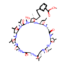 CCC[C@@H]1NC(=O)[C@H]([C@H](O)[C@H](C)CCCc2cccc(C(=O)OC)c2)N(C)C(=O)[C@H](C(C)C)N(C)C(=O)[C@H](CC(C)C)N(C)C(=O)[C@H](CC(C)C)N(C)C(=O)[C@H](C)NC(=O)[C@@H](C)NC(=O)[C@@H](CC(C)C)N(C)C(=O)[C@@H](C(C)C)NC(=O)[C@H](CC(C)C)N(C)C(=O)CN(C)C1=O